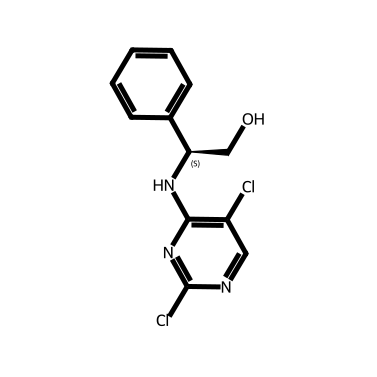 OC[C@@H](Nc1nc(Cl)ncc1Cl)c1ccccc1